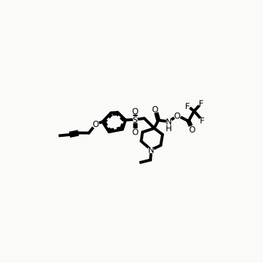 CC#CCOc1ccc(S(=O)(=O)CC2(C(=O)NOC(=O)C(F)(F)F)CCN(CC)CC2)cc1